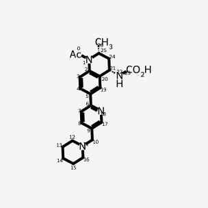 CC(=O)N1c2ccc(-c3ccc(CN4CCCCC4)cn3)cc2[C@@H](NC(=O)O)C[C@H]1C